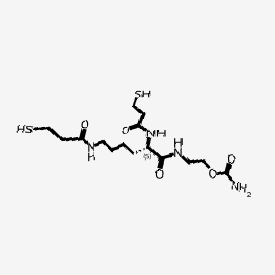 NC(=O)OCCNC(=O)[C@H](CCCCNC(=O)CCS)NC(=O)CCS